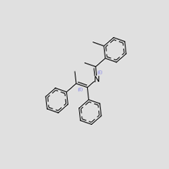 C/C(=N\C(=C(/C)c1ccccc1)c1ccccc1)c1ccccc1C